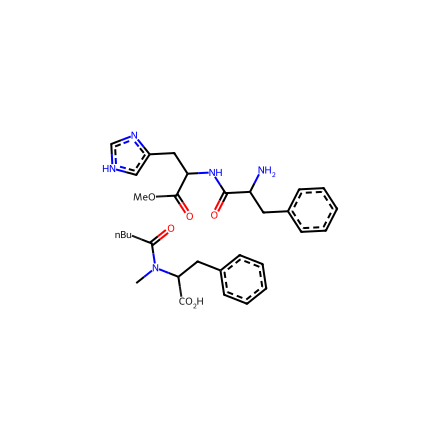 CCCCC(=O)N(C)C(Cc1ccccc1)C(=O)O.COC(=O)C(Cc1c[nH]cn1)NC(=O)C(N)Cc1ccccc1